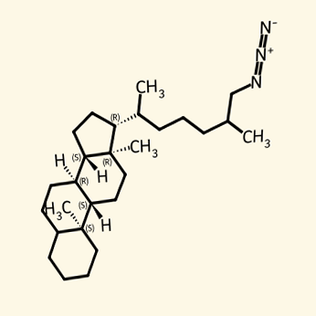 CC(CCCC(C)[C@H]1CC[C@H]2[C@@H]3CCC4CCCC[C@]4(C)[C@H]3CC[C@]12C)CN=[N+]=[N-]